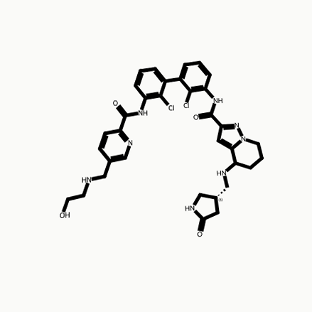 O=C1C[C@@H](CNC2CCCn3nc(C(=O)Nc4cccc(-c5cccc(NC(=O)c6ccc(CNCCO)cn6)c5Cl)c4Cl)cc32)CN1